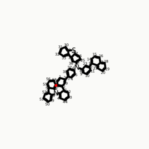 c1cc(-c2ccc(N(c3cccc(-c4cccc5ccccc45)c3)c3ccc4sc5ccccc5c4c3)cc2)cc(-c2ccccc2-n2c3ccccc3c3ccccc32)c1